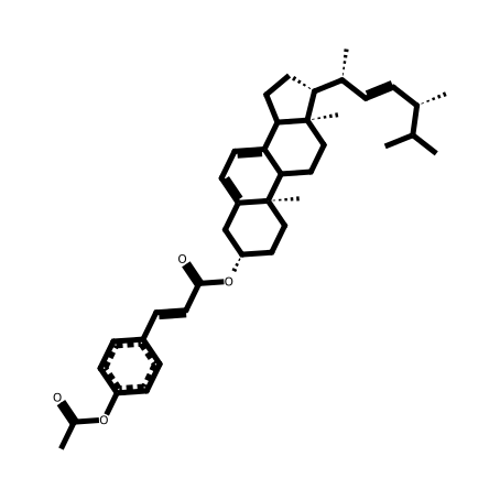 CC(=O)Oc1ccc(/C=C/C(=O)O[C@H]2CC[C@@]3(C)C(=CC=C4C3CC[C@@]3(C)C4CC[C@@H]3[C@H](C)/C=C/[C@H](C)C(C)C)C2)cc1